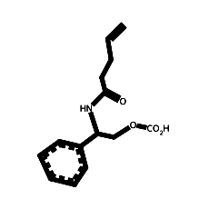 C=CCCC(=O)NC(COC(=O)O)c1ccccc1